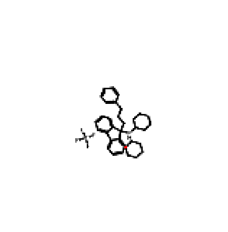 F[B-](F)(F)F.c1ccc(CCCC2([PH+](C3CCCCC3)C3CCCCC3)c3ccccc3-c3ccccc32)cc1